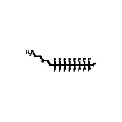 NCCSCCC(F)(F)C(F)(F)C(F)(F)C(F)(F)C(F)(F)C(F)(F)C(F)(F)C(F)(F)F